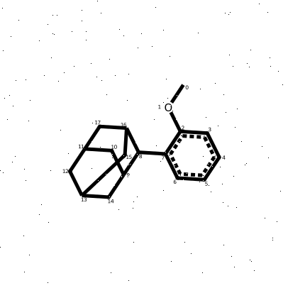 COc1ccccc1C1C2CC3CC(C2)CC1C3